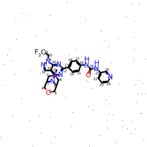 CN1CC2COCC(C1)N2c1nc(-c2ccc(NC(=O)Nc3cccnc3)cc2)nc2c1cnn2CC(F)(F)F